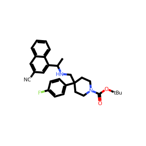 CC(NCC1(c2ccc(F)cc2)CCN(C(=O)OC(C)(C)C)CC1)c1cc(C#N)cc2ccccc12